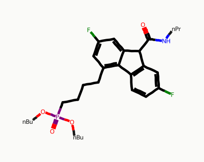 CCCCOP(=O)(CCCCc1cc(F)cc2c1-c1ccc(F)cc1C2C(=O)NCCC)OCCCC